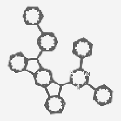 c1ccc(-c2cccc(C3c4ccccc4-c4cc5c(cc43)C(c3nc(-c4ccccc4)nc(-c4ccccc4)n3)c3ccccc3-5)c2)cc1